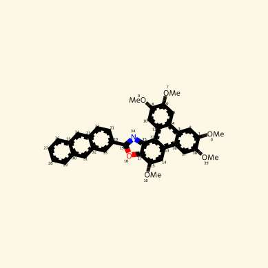 COc1cc2c3cc(OC)c(OC)cc3c3c(cc(OC)c4oc(-c5ccc6cc7ccccc7cc6c5)nc43)c2cc1OC